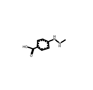 CNNc1ccc(C(=O)O)cc1